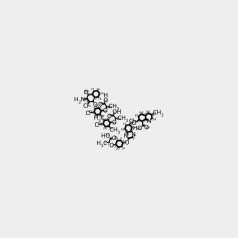 CC(Oc1ccc(Oc2cnc3cc(Cl)ccc3n2)cc1)C(=O)O.Cc1cc(Cl)ccc1OC(C)C(=O)O.Cc1cc(Cl)ccc1O[C@H](C)C(=O)O.Cc1cnc2c(C(=O)O)c(Cl)ccc2c1.NC1=C(Cl)C(=O)c2ccccc2C1=O